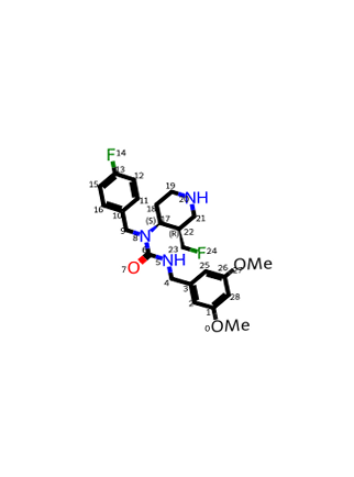 COc1cc(CNC(=O)N(Cc2ccc(F)cc2)[C@H]2CCNC[C@H]2CF)cc(OC)c1